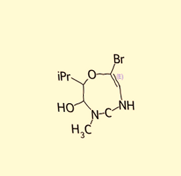 CC(C)C1O/C(Br)=C\NCN(C)C1O